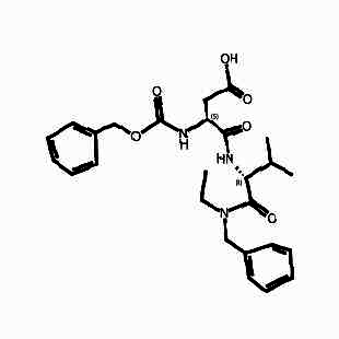 CCN(Cc1ccccc1)C(=O)[C@H](NC(=O)[C@H](CC(=O)O)NC(=O)OCc1ccccc1)C(C)C